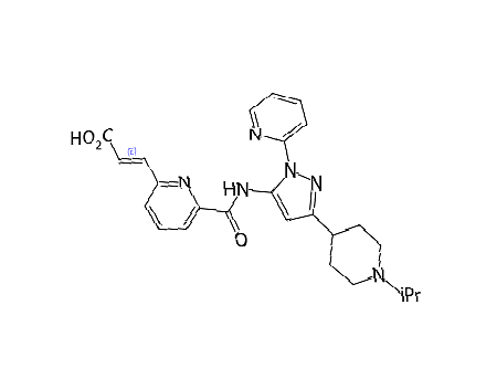 CC(C)N1CCC(c2cc(NC(=O)c3cccc(/C=C/C(=O)O)n3)n(-c3ccccn3)n2)CC1